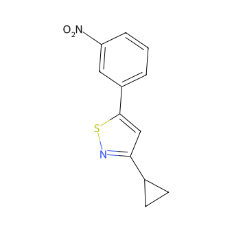 O=[N+]([O-])c1cccc(-c2cc(C3CC3)ns2)c1